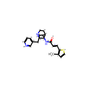 Cc1ccsc1/C=C/C(=O)NC1C2CCN(CC2)C1Cc1cccnc1